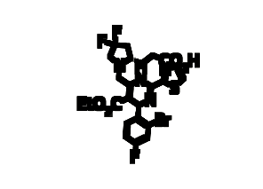 CCOC(=O)C1=C(CN2CC(F)(F)C[C@@H]2CCC(=O)O)NC(c2nccs2)=N[C@H]1c1ccc(F)cc1Br